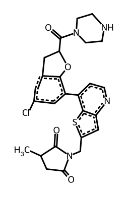 CC1CC(=O)N(Cc2cc3nccc(-c4cc(Cl)cc5c4OC(C(=O)N4CCNCC4)C5)c3s2)C1=O